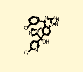 Cn1cncc1C(O)(c1ccc(Cl)nc1)c1ccc2c(c1)c(-c1cccc(Cl)c1)nc1nnnn12